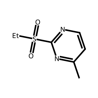 CCS(=O)(=O)c1nccc(C)n1